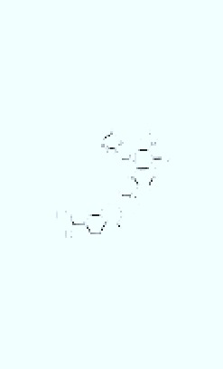 N=C(N)c1ccc(C(=O)N2CCN(c3ccc4c(=O)c(OC(=O)O)cn(Cc5nccs5)c4c3)CC2)cc1